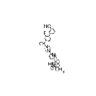 CS(=O)(=O)NC(=O)c1ccc(N2CCN(C(=O)c3ccc(-c4cccc(O)c4)c(F)c3)CC2)nn1